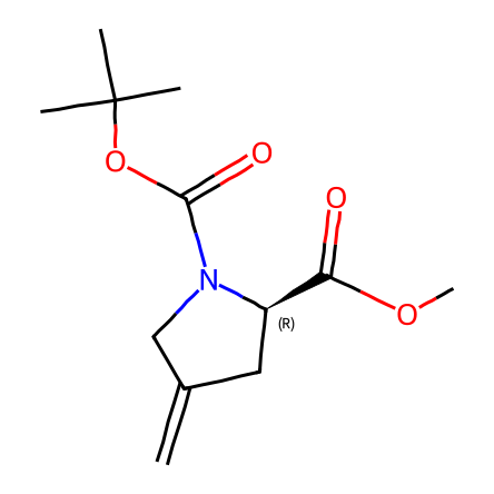 C=C1C[C@H](C(=O)OC)N(C(=O)OC(C)(C)C)C1